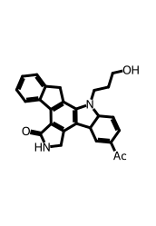 CC(=O)C1=CC2c3c4c(c5c(c3N(CCCO)C2C=C1)Cc1ccccc1-5)C(=O)NC4